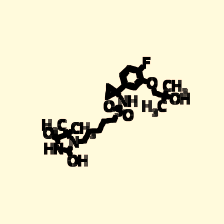 CC(C)(O)COc1cc(C2(NS(=O)(=O)CCCCCN3C(O)NC(=O)C3(C)C)CC2)ccc1F